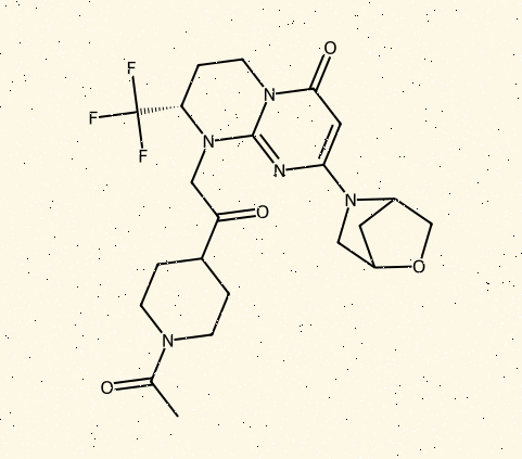 CC(=O)N1CCC(C(=O)CN2c3nc(N4CC5CC4CO5)cc(=O)n3CC[C@H]2C(F)(F)F)CC1